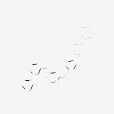 COc1cc(N2CCC(N3CCN(C)CC3)CC2)c(C)cc1Nc1cc(Nc2ccnc(-c3ccccc3F)c2)ncn1